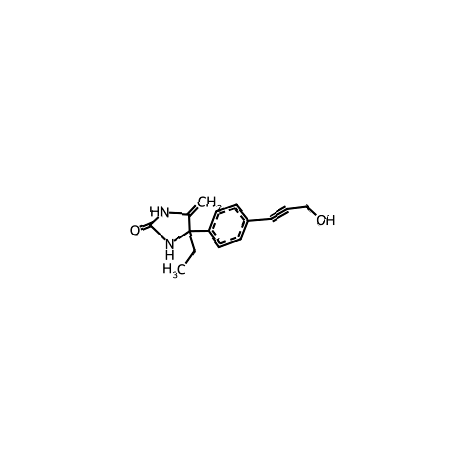 C=C1NC(=O)NC1(CC)c1ccc(C#CCO)cc1